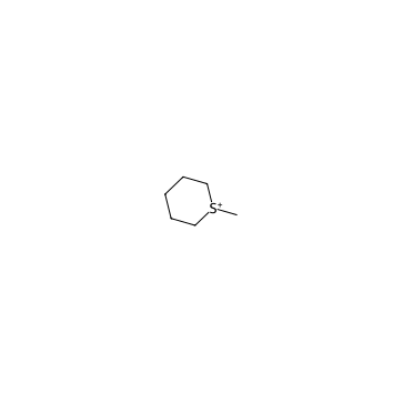 C[S+]1CCCCC1